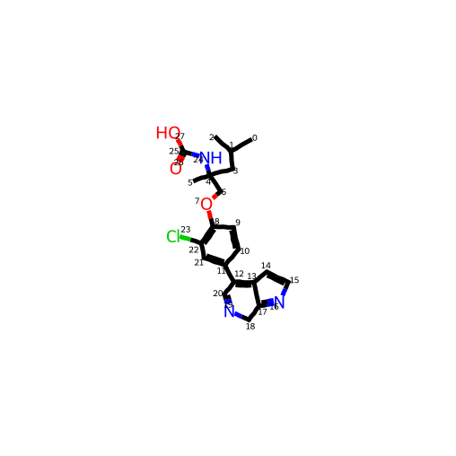 CC(C)CC(C)(COc1ccc(C2=C3C=CN=C3CN=C2)cc1Cl)NC(=O)O